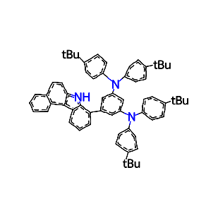 CC(C)(C)c1ccc(N(c2ccc(C(C)(C)C)cc2)c2cc(-c3cccc4c3[nH]c3ccc5ccccc5c34)cc(N(c3ccc(C(C)(C)C)cc3)c3ccc(C(C)(C)C)cc3)c2)cc1